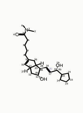 CN(C)C(=O)CCCCC1=C[C@H]2C[C@@H](O)[C@H](/C=C/[C@H](O)C3CCCC3)[C@H]2C1